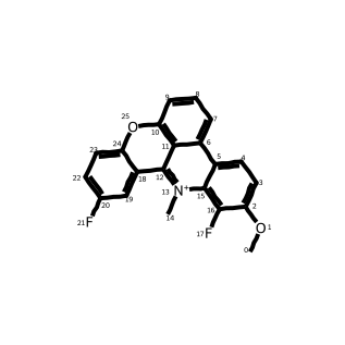 COc1ccc2c3cccc4c3c([n+](C)c2c1F)-c1cc(F)ccc1O4